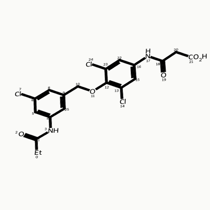 CCC(=O)Nc1cc(Cl)cc(COc2c(Cl)cc(NC(=O)CC(=O)O)cc2Cl)c1